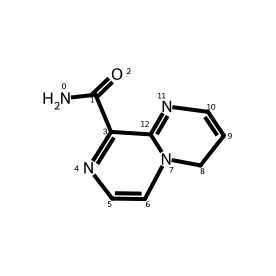 NC(=O)C1=NC=CN2CC=CN=C12